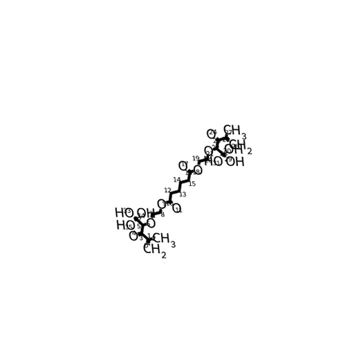 C=C(C)C(=O)C(OCCOC(=O)CCCCC(=O)OCCOC(C(=O)C(=C)C)C(O)(O)O)C(O)(O)O